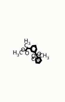 COC(=O)C(C)c1cccc(C(OC)(OC)c2ccccc2)c1